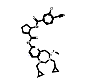 C=C(/C=C\C1=C(C)C[C@H](OC)N(CC2CC2)CN1CC1CC1)NC(=O)C1CCCC1NC(=O)c1ccc(C#N)c(Cl)c1